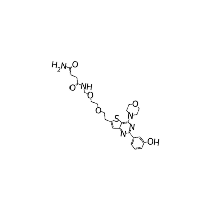 NC(=O)CCC(=O)NCOCCOCCc1cc2nc(-c3cccc(O)c3)nc(N3CCOCC3)c2s1